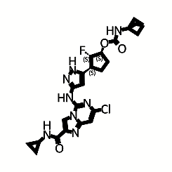 O=C(NC12CC(C1)C2)O[C@H]1CC[C@@H](c2cc(Nc3nc(Cl)cc4nc(C(=O)NC5CC5)cn34)n[nH]2)[C@@H]1F